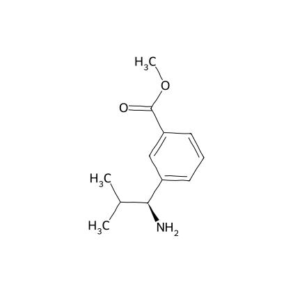 COC(=O)c1cccc([C@@H](N)C(C)C)c1